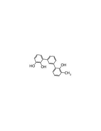 Cc1cccc(-c2cccc(-c3cccc(O)c3O)c2)c1O